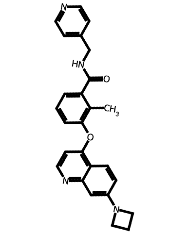 Cc1c(Oc2ccnc3cc(N4CCC4)ccc23)cccc1C(=O)NCc1ccncc1